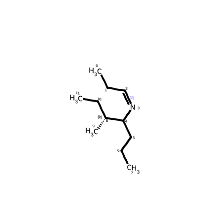 CC/C=N\C(CCC)[C@H](C)CC